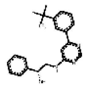 CC(F)(c1cccc(-c2cc(NC[C@H](O)c3ccccc3)ncn2)c1)C(F)(F)F